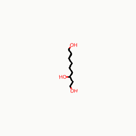 OCCCCCCC(O)CCO